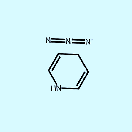 C1=CNC=CC1.[N-]=[N+]=[N-]